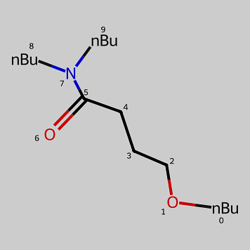 CCCCOCCCC(=O)N(CCCC)CCCC